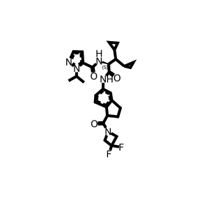 CC(C)n1nccc1C(=O)N[C@H](C(=O)Nc1ccc2c(c1)CCC2C(=O)N1CC(F)(F)C1)C(C1CC1)C1CC1